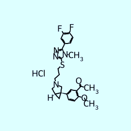 COc1ccc([C@@]23C[C@H]2CN(CCCSc2nnc(-c4ccc(F)c(F)c4)n2C)C3)cc1C(C)=O.Cl